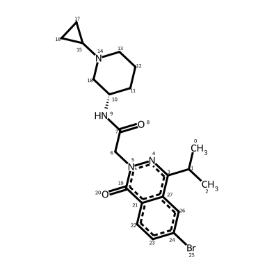 CC(C)c1nn(CC(=O)N[C@H]2CCCN(C3CC3)C2)c(=O)c2ccc(Br)cc12